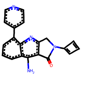 Nc1c2c(nc3c(-c4ccncc4)cccc13)CN(C1=CC=C1)C2=O